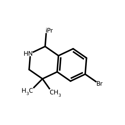 CC(C)C1NCC(C)(C)c2cc(Br)ccc21